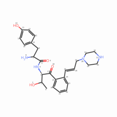 CC(O)[C@@H](NC(=O)C(N)Cc1ccc(O)cc1)C(=O)c1ccccc1/C=C/CN1CCNCC1